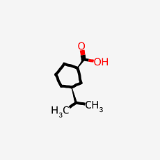 CC(C)[C@H]1CCC[C@@H](C(=O)O)C1